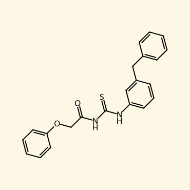 O=C(COc1ccccc1)NC(=S)Nc1cccc(Cc2ccccc2)c1